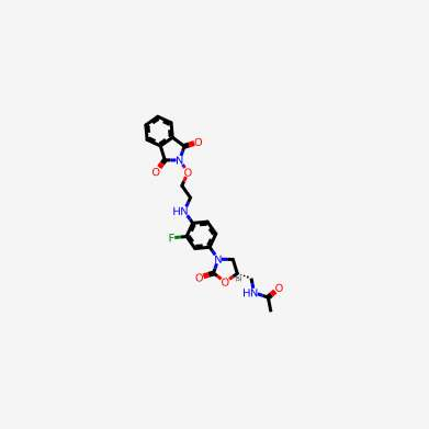 CC(=O)NC[C@H]1CN(c2ccc(NCCON3C(=O)c4ccccc4C3=O)c(F)c2)C(=O)O1